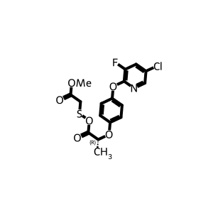 COC(=O)CSOC(=O)[C@@H](C)Oc1ccc(Oc2ncc(Cl)cc2F)cc1